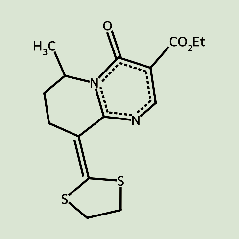 CCOC(=O)c1cnc2n(c1=O)C(C)CCC2=C1SCCS1